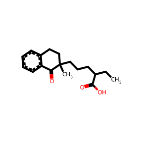 CCC(CCCC1(C)CCc2ccccc2C1=O)C(=O)O